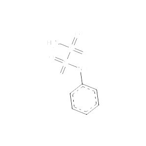 NS(=O)(=O)S(=O)(=O)Nc1ccccc1